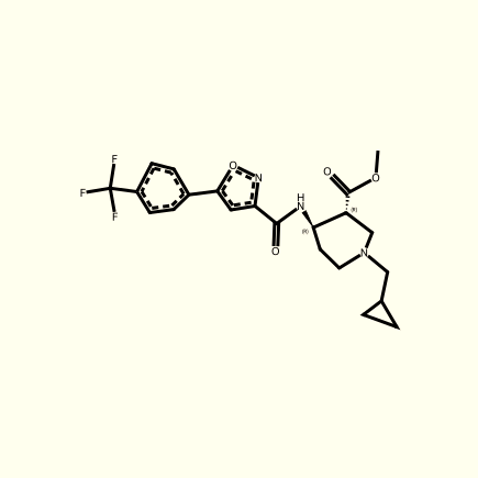 COC(=O)[C@@H]1CN(CC2CC2)CC[C@H]1NC(=O)c1cc(-c2ccc(C(F)(F)F)cc2)on1